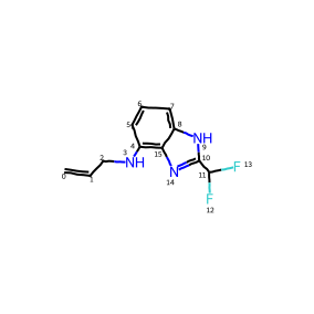 C=CCNc1[c]ccc2[nH]c(C(F)F)nc12